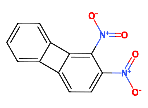 O=[N+]([O-])c1ccc2c(c1[N+](=O)[O-])-c1ccccc1-2